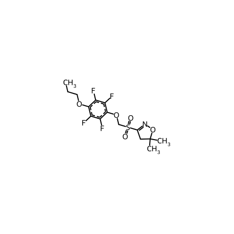 CCCOc1c(F)c(F)c(OCS(=O)(=O)C2=NOC(C)(C)C2)c(F)c1F